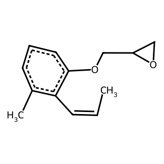 C/C=C\c1c(C)cccc1OCC1CO1